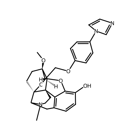 CO[C@]12CC[C@@]3(C[C@@H]1COc1ccc(-n4ccnc4)cc1)C1Cc4ccc(O)c5c4[C@@]3(CCN1C)[C@H]2O5